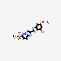 COc1cc(O)c2sc(-c3cn4nc(S(C)(=O)=O)ccc4n3)nc2c1